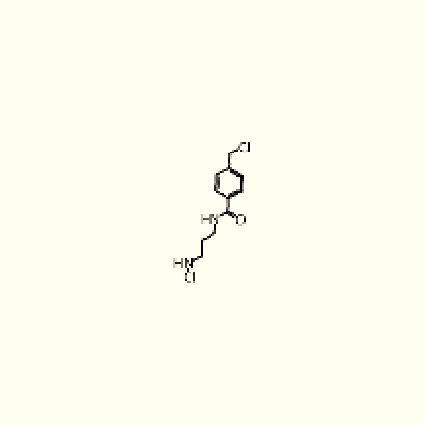 O=C(NCCCNCl)c1ccc(CCl)cc1